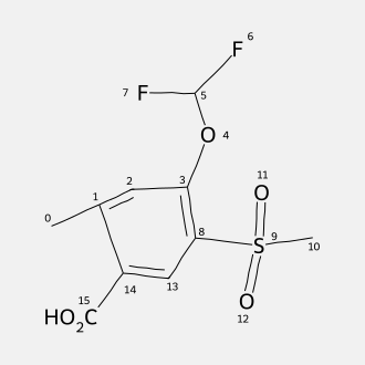 Cc1cc(OC(F)F)c(S(C)(=O)=O)cc1C(=O)O